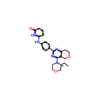 CC[C@H]1COCCN1c1nc(-c2ccc(Nc3cccc(=O)[nH]3)cc2)nc2c1COCC2